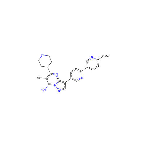 COc1ccc(-c2ccc(-c3cnn4c(N)c(C(C)=O)c(C5CCNCC5)nc34)cn2)cn1